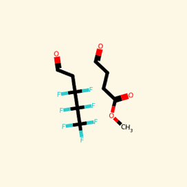 COC(=O)CCC=O.O=CCC(F)(F)C(F)(F)C(F)(F)F